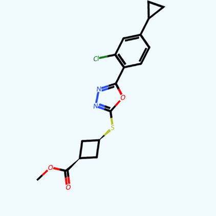 COC(=O)[C@H]1C[C@@H](Sc2nnc(-c3ccc(C4CC4)cc3Cl)o2)C1